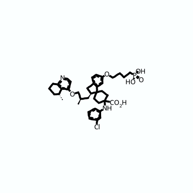 C[C@@H](COc1ccnc2c1[C@H](C)CCC2)C[C@H]1Cc2ccc(OCCCCP(=O)(O)O)cc2C12CCC(Nc1cccc(Cl)c1)(C(=O)O)CC2